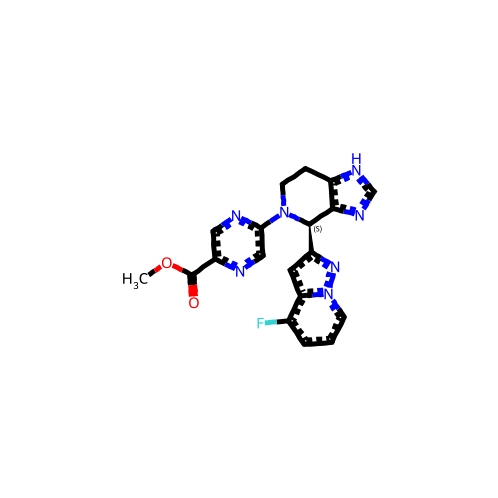 COC(=O)c1cnc(N2CCc3[nH]cnc3[C@H]2c2cc3c(F)cccn3n2)cn1